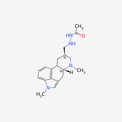 CC(=O)NNC[C@@H]1CC2c3cccc4c3c(cn4C)C[C@H]2N(C)C1